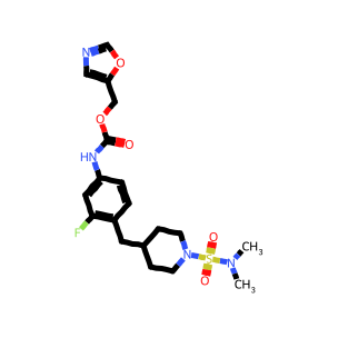 CN(C)S(=O)(=O)N1CCC(Cc2ccc(NC(=O)OCc3cnco3)cc2F)CC1